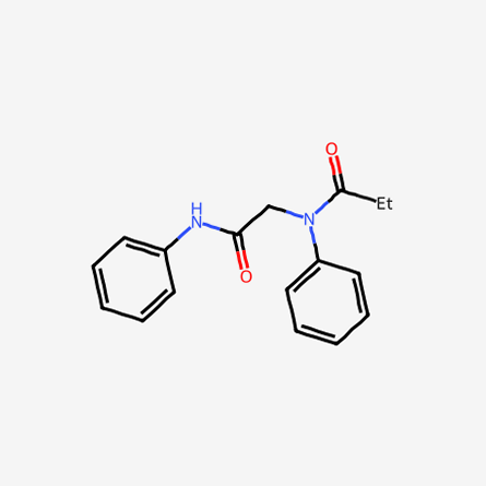 CCC(=O)N(CC(=O)Nc1ccccc1)c1ccccc1